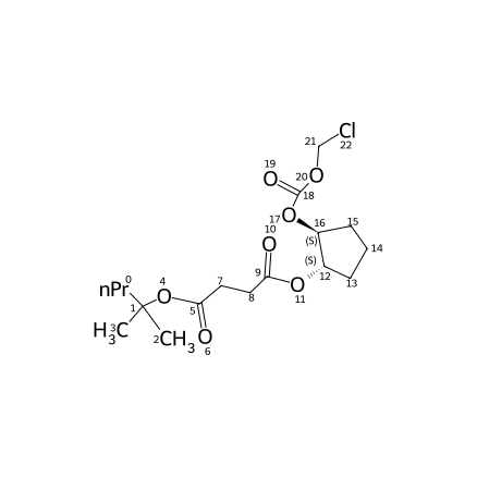 CCCC(C)(C)OC(=O)CCC(=O)O[C@H]1CCC[C@@H]1OC(=O)OCCl